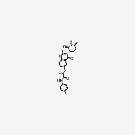 C=C1CC[C@H](n2c(C)nc3ccc(CNC(=O)Nc4ccc(C)cc4)cc3c2=O)C(=O)N1